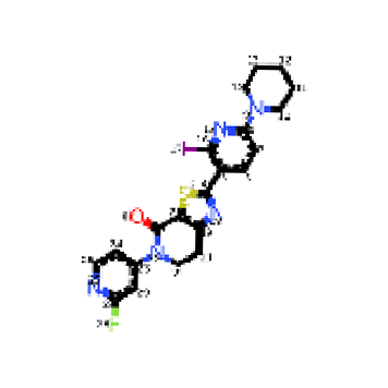 O=C1c2sc(-c3ccc(N4CCCCC4)nc3I)nc2CCN1c1ccnc(F)c1